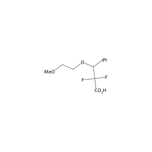 COCCOC(C(C)C)C(F)(F)C(=O)O